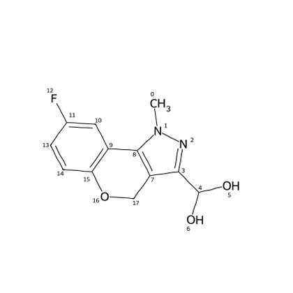 Cn1nc(C(O)O)c2c1-c1cc(F)ccc1OC2